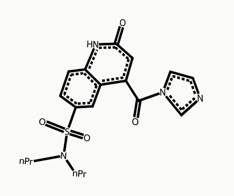 CCCN(CCC)S(=O)(=O)c1ccc2[nH]c(=O)cc(C(=O)n3ccnc3)c2c1